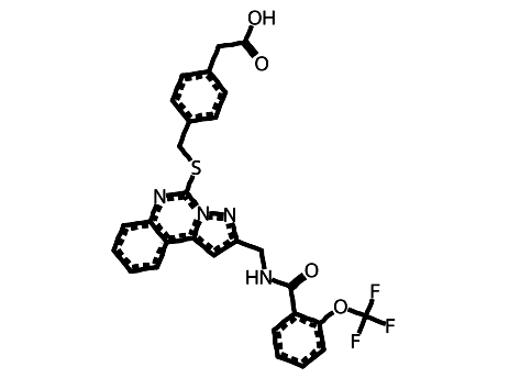 O=C(O)Cc1ccc(CSc2nc3ccccc3c3cc(CNC(=O)c4ccccc4OC(F)(F)F)nn23)cc1